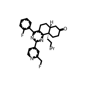 CC(C)CC[C@@]12CCC(=O)C[C@H]1CCc1c(-c3ccccc3F)nc(-c3ccnc(CF)c3)nc12